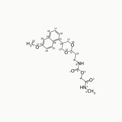 CNC(=O)COC(=O)NCCC1OCC(c2cccc3cc(OC)ccc23)CO1